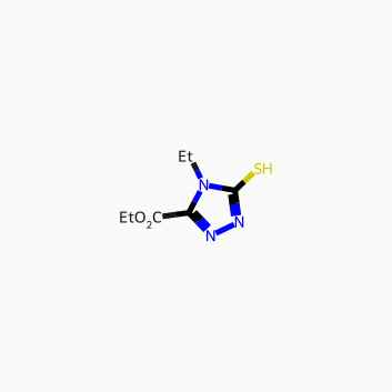 CCOC(=O)c1nnc(S)n1CC